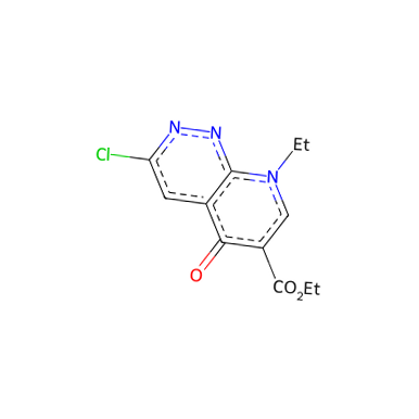 CCOC(=O)c1cn(CC)c2nnc(Cl)cc2c1=O